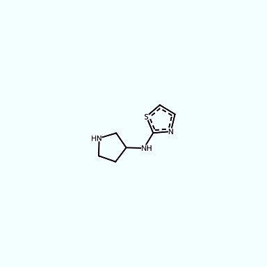 c1csc(NC2CCNC2)n1